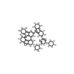 c1ccc(-c2cc(-c3ccccc3)nc(-c3ccc4c5ccccc5n(-c5cc(-c6cccc7oc8ccccc8c67)c6sc7ccccc7c6c5)c4c3)n2)cc1